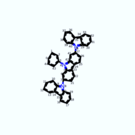 c1ccc(-n2c3cc(-n4c5ccccc5c5ccccc54)ccc3c3ccc(-n4c5ccccc5c5ccccc54)cc32)cc1